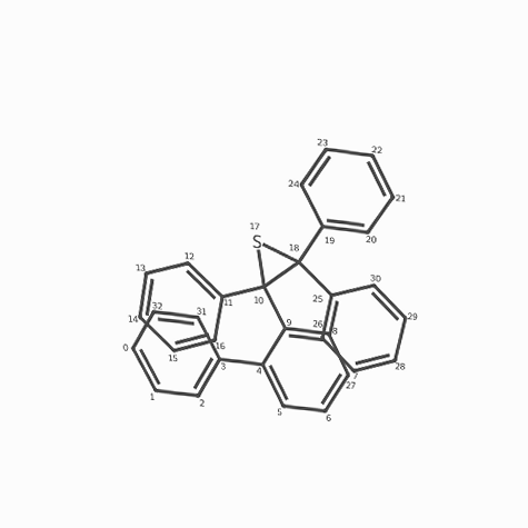 c1ccc(-c2ccccc2C2(c3ccccc3)SC2(c2ccccc2)c2ccccc2)cc1